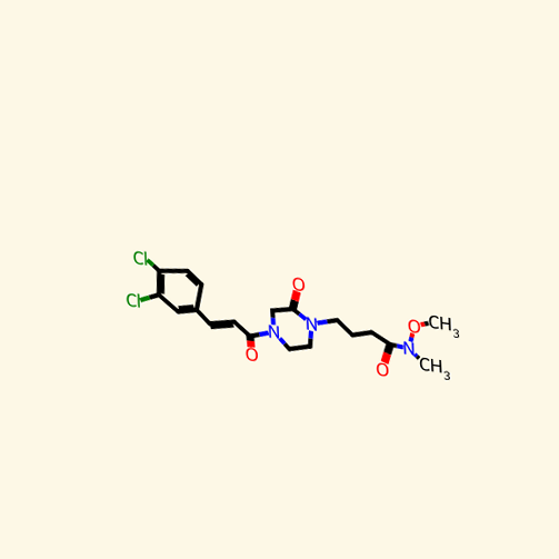 CON(C)C(=O)CCCN1CCN(C(=O)C=Cc2ccc(Cl)c(Cl)c2)CC1=O